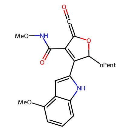 CCCCCC1OC(=C=O)C(C(=O)NOC)=C1c1cc2c(OC)cccc2[nH]1